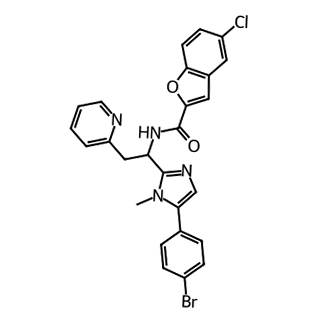 Cn1c(-c2ccc(Br)cc2)cnc1C(Cc1ccccn1)NC(=O)c1cc2cc(Cl)ccc2o1